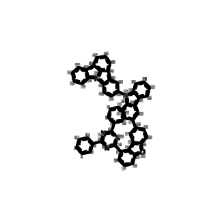 c1ccc(-c2nc(-c3ccccc3)nc(-c3cccc4oc5ccc(-c6ccc7c(c6)c6ccccc6n7-c6ccc7c(c6)c6cccc8c9ccccc9n7c86)cc5c34)n2)cc1